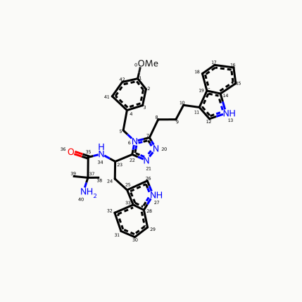 COc1ccc(Cn2c(CCCc3c[nH]c4ccccc34)nnc2C(Cc2c[nH]c3ccccc23)NC(=O)C(C)(C)N)cc1